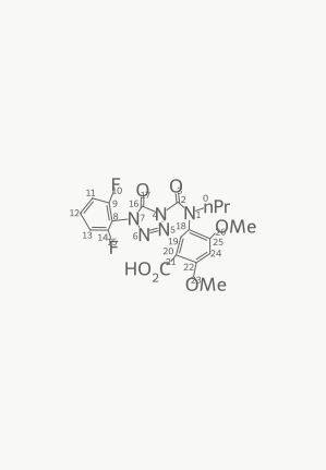 CCCN(C(=O)n1nnn(-c2c(F)cccc2F)c1=O)c1cc(C(=O)O)c(OC)cc1OC